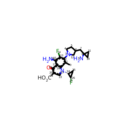 Cc1c(N2CCC(CC3(N)CC3)C2)c(F)c(N)c2c(=O)c(C(=O)O)cn([C@@H]3C[C@H]3F)c12